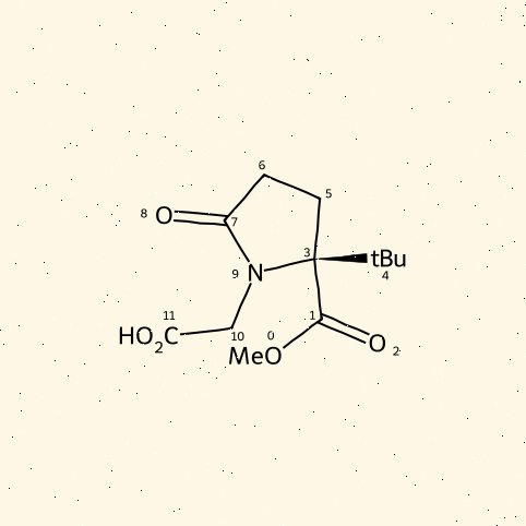 COC(=O)[C@@]1(C(C)(C)C)CCC(=O)N1CC(=O)O